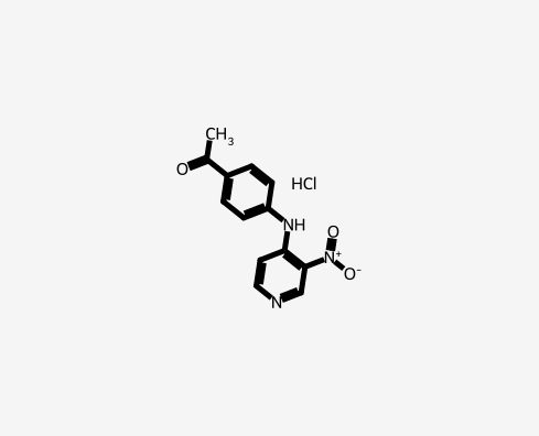 CC(=O)c1ccc(Nc2ccncc2[N+](=O)[O-])cc1.Cl